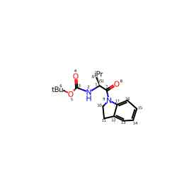 CC(C)[C@H](NC(=O)OC(C)(C)C)C(=O)N1CCc2ccccc21